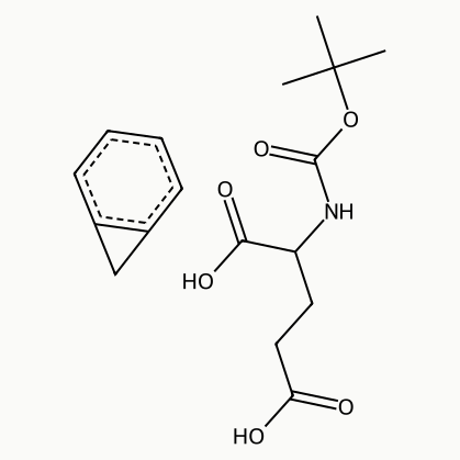 CC(C)(C)OC(=O)NC(CCC(=O)O)C(=O)O.c1ccc2c(c1)C2